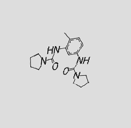 Cc1ccc(NC(=O)N2CCCC2)cc1NC(=O)N1CCCC1